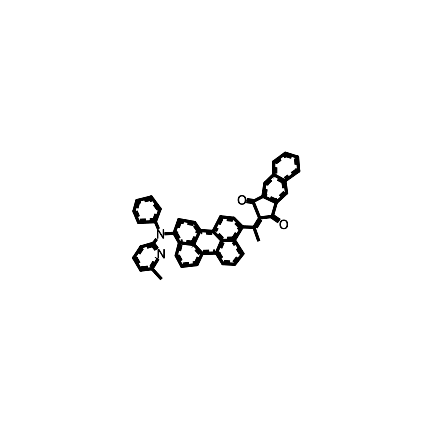 CC(=C1C(=O)c2cc3ccccc3cc2C1=O)c1ccc2c3ccc(N(c4ccccc4)c4cccc(C)n4)c4cccc(c5cccc1c52)c43